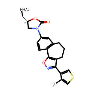 CC(=O)NC[C@H]1CN(c2ccc3c(c2)CCCc2c(-c4cscc4C(F)(F)F)noc2-3)C(=O)O1